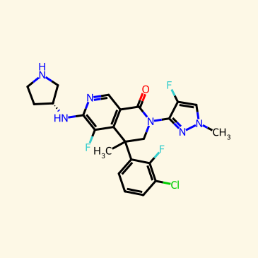 Cn1cc(F)c(N2CC(C)(c3cccc(Cl)c3F)c3c(cnc(N[C@@H]4CCNC4)c3F)C2=O)n1